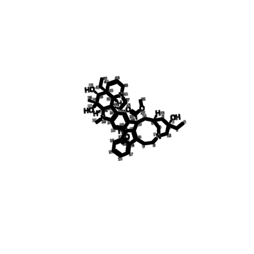 CC[C@]1(O)C[C@H]2CN(CCc3c([nH]c4ccccc34)[C@@](C(=O)OC)(c3cc4c(cc3OC)N(C)[C@H]3[C@](C)(O)[C@H](O)[C@]5(CC)C=CCN6CC[C@]43[C@@H]65)C2)C1